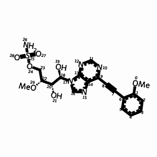 COc1ccccc1C#Cc1ncnc2c1ncn2[C@H](O)[C@H](O)[C@@H](COS(N)(=O)=O)OC